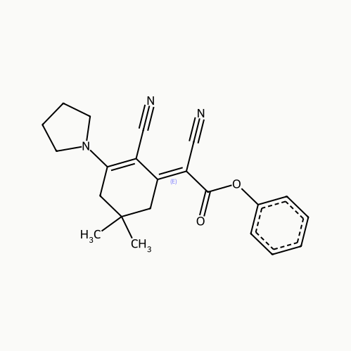 CC1(C)CC(N2CCCC2)=C(C#N)/C(=C(\C#N)C(=O)Oc2ccccc2)C1